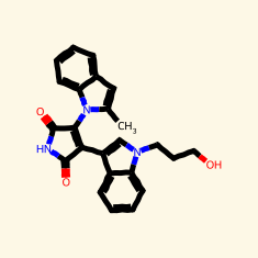 Cc1cc2ccccc2n1C1=C(c2cn(CCCO)c3ccccc23)C(=O)NC1=O